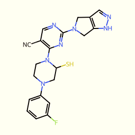 N#Cc1cnc(N2Cc3cn[nH]c3C2)nc1N1CCN(c2cccc(F)c2)CC1S